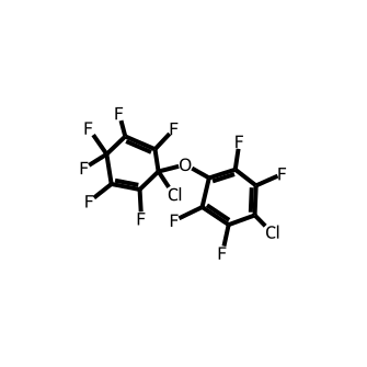 FC1=C(F)C(Cl)(Oc2c(F)c(F)c(Cl)c(F)c2F)C(F)=C(F)C1(F)F